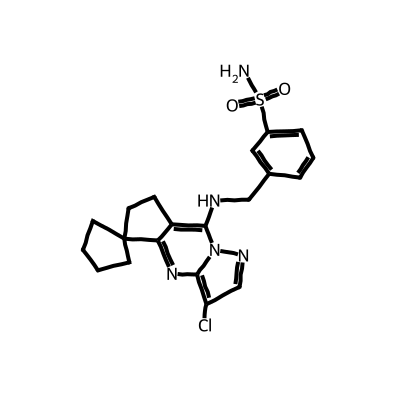 NS(=O)(=O)c1cccc(CNc2c3c(nc4c(Cl)cnn24)C2(CCCC2)CC3)c1